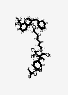 CC(C)Oc1ccc(C2(C)NC(=O)N(CCCCCCOc3c(Cc4ccccc4)cnc4c(C(F)(F)F)cccc34)C2=O)cn1